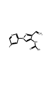 C=Cc1nn(-c2cncc(F)c2)cc1NC(=O)C(C)C